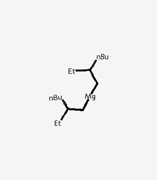 CCCCC(CC)[CH2][Mg][CH2]C(CC)CCCC